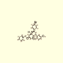 COc1ccc(Cl)c(C(CC(N)c2ccc(Br)cc2)c2ccc(OCc3ccccc3)cc2)c1